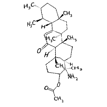 CC(=O)OC1CC[C@@]2(C)[C@@H](CC[C@]3(C)[C@@H]2C(=O)C=C2[C@@H]4[C@@H](C)[C@H](C)CC[C@]4(C)CC[C@]23C)[C@@]1(C)N